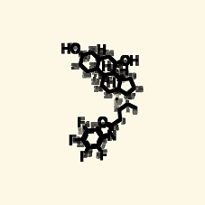 CC(CCc1nc2c(F)c(F)c(F)c(F)c2o1)[C@H]1CC[C@H]2[C@@H]3[C@H](O)C[C@@H]4C[C@H](O)CC[C@]4(C)[C@H]3CC[C@]12C